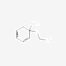 N#CCOC1(N)C=CC=CC1